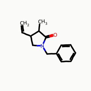 C=CC1CN(Cc2ccccc2)C(=O)C1C